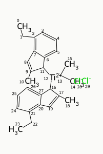 CCc1cccc2c1C=C(C)[CH]2[Ti+2](=[C](C)C)[CH]1C(C)=Cc2c(CC)cccc21.[Cl-].[Cl-]